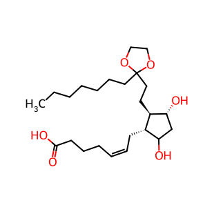 CCCCCCCC1(CC[C@H]2[C@H](O)CC(O)[C@@H]2C/C=C\CCCC(=O)O)OCCO1